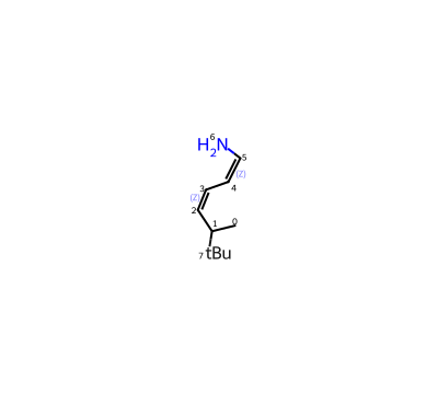 CC(/C=C\C=C/N)C(C)(C)C